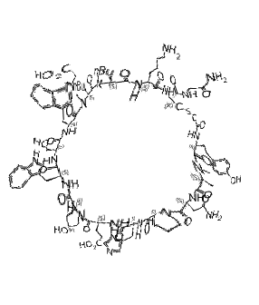 CCCC[C@H]1C(=O)N(C)[C@@H](CCCC)C(=O)N[C@@H](CCCCN)C(=O)N[C@H](C(=O)NCC(N)=O)CSCC(=O)N[C@@H](Cc2ccc(O)cc2)C(=O)N(C)[C@@H](C)C(=O)N[C@@H](CC(N)=O)C(=O)N2CCC[C@H]2C(=O)N[C@@H](Cc2cnc[nH]2)C(=O)N[C@@H](CCC(=O)O)C(=O)N2C[C@H](O)C[C@H]2C(=O)N[C@@H](Cc2c[nH]c3ccccc23)C(=O)N[C@@H](CO)C(=O)N[C@@H](Cc2cn(CC(=O)O)c3ccccc23)C(=O)N1C